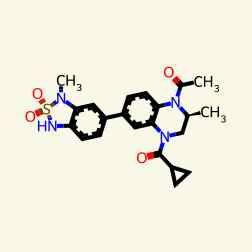 CC(=O)N1c2ccc(-c3ccc4c(c3)N(C)S(=O)(=O)N4)cc2N(C(=O)C2CC2)C[C@@H]1C